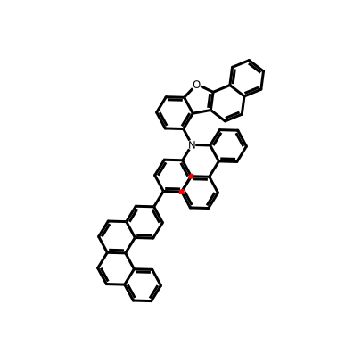 c1ccc(-c2ccccc2N(c2ccc(-c3ccc4c(ccc5ccc6ccccc6c54)c3)cc2)c2cccc3oc4c5ccccc5ccc4c23)cc1